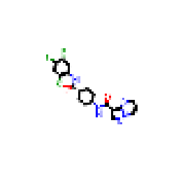 O=C(N[C@H]1CC[C@H](C(=O)Nc2cc(F)c(F)cc2Cl)CC1)c1cnn2cccnc12